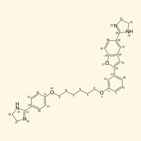 c1cc(OCCCCCCOc2ccc(C3=NCCN3)cc2)cc(-c2cc3cc(C4=NCCN4)ccc3o2)c1